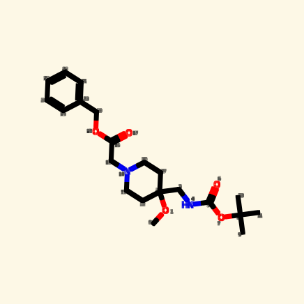 COC1(CNC(=O)OC(C)(C)C)CCN(CC(=O)OCc2ccccc2)CC1